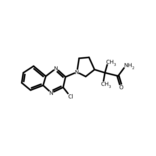 CC(C)(C(N)=O)C1CCN(c2nc3ccccc3nc2Cl)C1